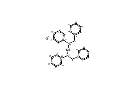 [Cl-].c1ccc(C[N]([Nd+][N](Cc2ccccc2)c2ccccc2)c2ccccc2)cc1